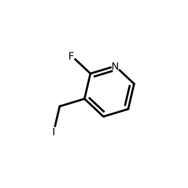 Fc1ncccc1CI